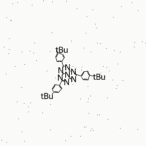 CC(C)(C)c1ccc(C2=NC3=NC(c4ccc(C(C)(C)C)cc4)=NC4=NC(c5ccc(C(C)(C)C)cc5)=NC(=N2)N34)cc1